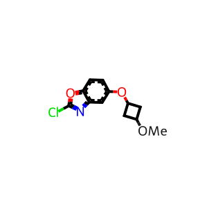 COC1CC(Oc2ccc3oc(Cl)nc3c2)C1